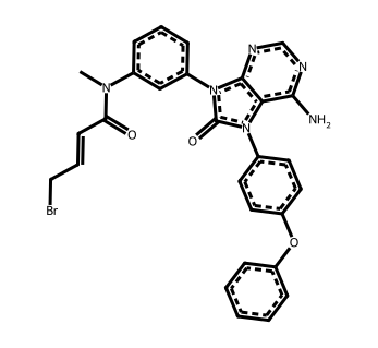 CN(C(=O)C=CCBr)c1cccc(-n2c(=O)n(-c3ccc(Oc4ccccc4)cc3)c3c(N)ncnc32)c1